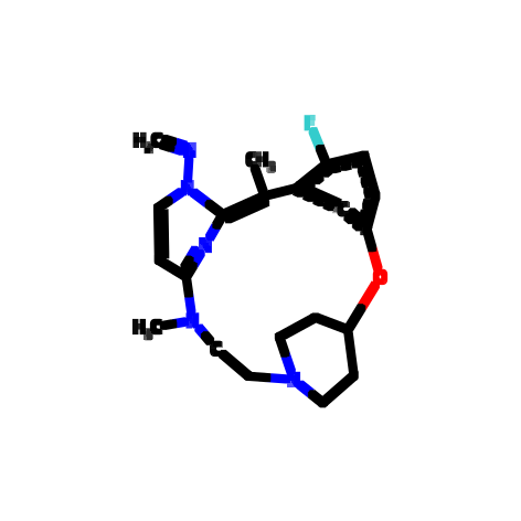 C=NN1C=CC2=N/C1=C(/C)c1cc(ccc1F)OC1CCN(CC1)CCN2C